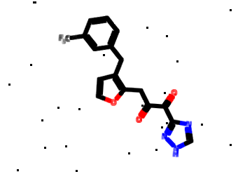 O=C(Cc1occc1Cc1cccc(C(F)(F)F)c1)C(=O)c1nc[nH]n1